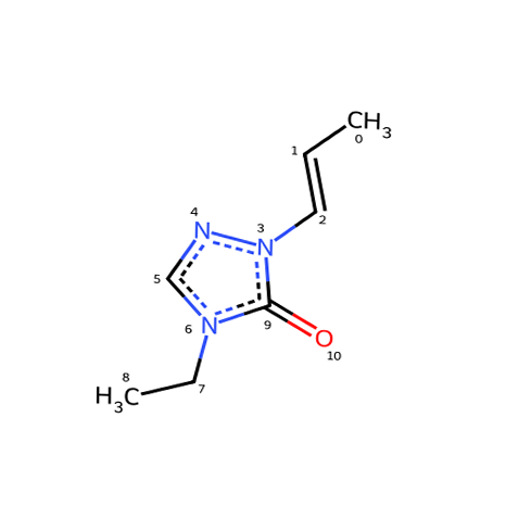 C/C=C/n1ncn(CC)c1=O